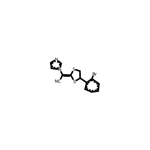 N#C/C(=C1/SCC(c2ccccc2Br)S1)n1ccnc1